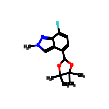 Cn1cc2c(B3OC(C)(C)C(C)(C)O3)ccc(F)c2n1